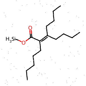 CCCCCC(C(=O)O[SiH3])=C(CCCC)CCCC